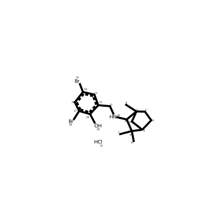 CC12CCC(C1)C(C)(C)C2NCc1cc(Br)cc(Br)c1O.Cl